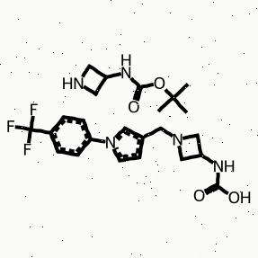 CC(C)(C)OC(=O)NC1CNC1.O=C(O)NC1CN(Cc2ccn(-c3ccc(C(F)(F)F)cc3)c2)C1